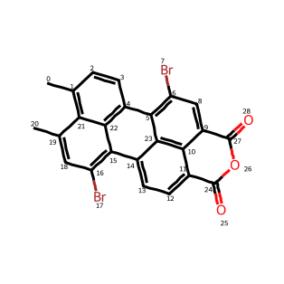 Cc1ccc2c3c(Br)cc4c5c(ccc(c6c(Br)cc(C)c1c26)c53)C(=O)OC4=O